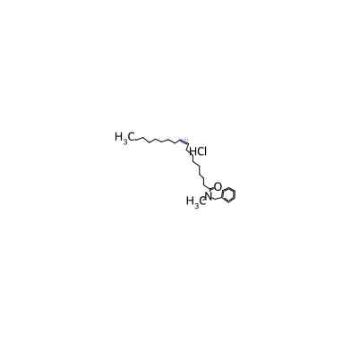 CCCCCCCC/C=C\CCCCCCCC(=O)N(C)Cc1ccccc1.Cl